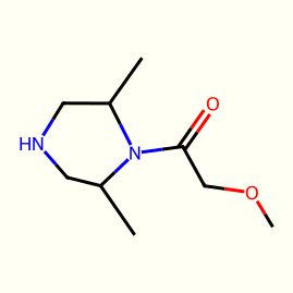 COCC(=O)N1C(C)CNCC1C